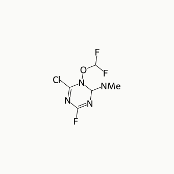 CNC1N=C(F)N=C(Cl)N1OC(F)F